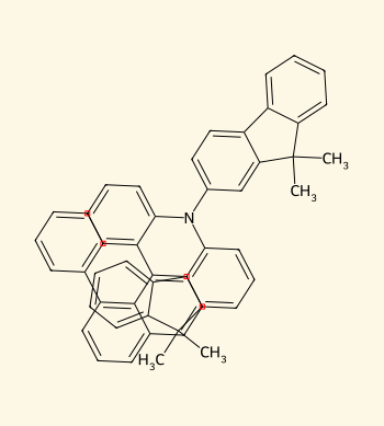 CC1(C)c2ccccc2-c2ccc(N(c3ccccc3-c3cccc4cccc(-c5ccccc5)c34)c3cccc4c3-c3ccccc3C4(C)C)cc21